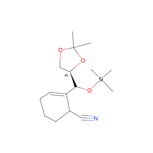 CC1(C)OC[C@H](C(O[Si](C)(C)C)C2=CCCCC2C#N)O1